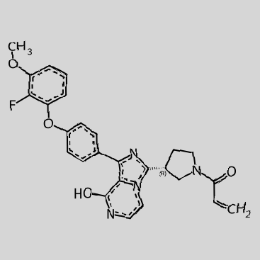 C=CC(=O)N1CC[C@@H](c2nc(-c3ccc(Oc4cccc(OC)c4F)cc3)c3c(O)nccn23)C1